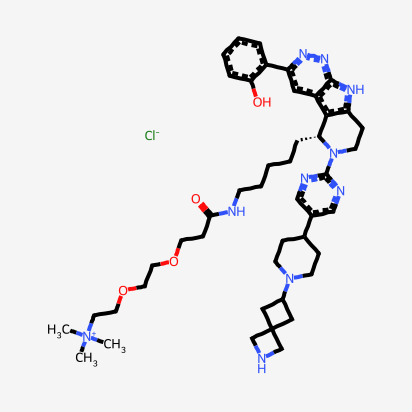 C[N+](C)(C)CCOCCOCCC(=O)NCCCCC[C@@H]1c2c([nH]c3nnc(-c4ccccc4O)cc23)CCN1c1ncc(C2CCN(C3CC4(CNC4)C3)CC2)cn1.[Cl-]